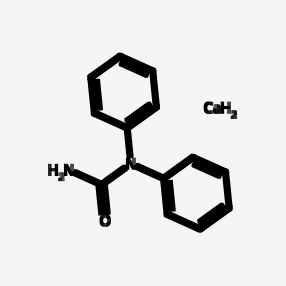 NC(=O)N(c1ccccc1)c1ccccc1.[CaH2]